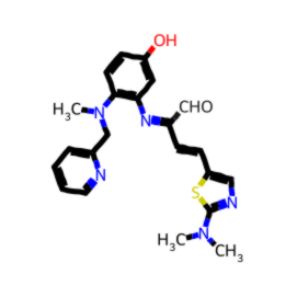 CN(C)c1ncc(/C=C/C(C=O)=N/c2cc(O)ccc2N(C)Cc2ccccn2)s1